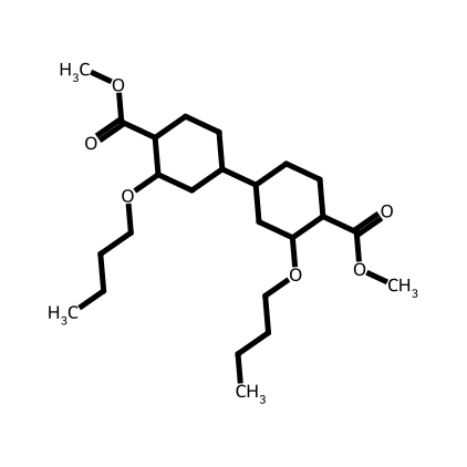 CCCCOC1CC(C2CCC(C(=O)OC)C(OCCCC)C2)CCC1C(=O)OC